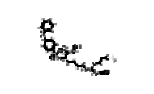 CCCN/C(=N\C#N)NCCCC[C@@H](NS(=O)(=O)c1ccc(Oc2ccccc2)cc1)C(=O)NO